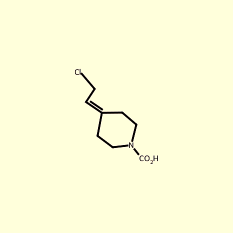 O=C(O)N1CCC(=CCCl)CC1